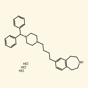 Cl.Cl.Cl.c1ccc(C(c2ccccc2)N2CCN(CCCCc3ccc4c(c3)CCNCC4)CC2)cc1